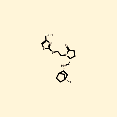 O=C(O)c1csc(SCCN2C(=O)CC[C@@H]2CN[C@@H]2C[C@H]3CCC2C3)n1